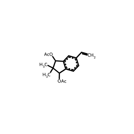 C=Cc1ccc2c(c1)C(OC(C)=O)C(C)(C)C2OC(C)=O